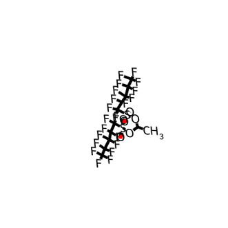 CC(OS(=O)(=O)C(F)(F)C(F)(F)C(F)(F)C(F)(F)C(F)(F)F)OS(=O)(=O)C(F)(F)C(F)(F)C(F)(F)C(F)(F)C(F)(F)F